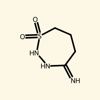 N=C1CCCS(=O)(=O)NN1